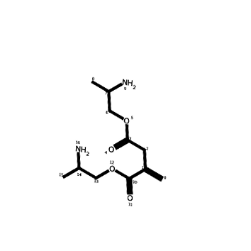 C=C(CC(=O)OCC(C)N)C(=O)OCC(C)N